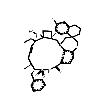 CO[C@]1(CO)/C=C/C[C@H](C)[C@H](Cc2ccccc2)S(=O)(=O)NC(=O)c2ccc3c(c2)N(C[C@@H]2CC[C@H]21)C[C@@]1(CCCc2cc(Cl)ccc21)CO3